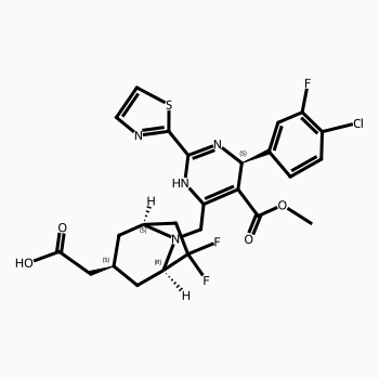 COC(=O)C1=C(CN2[C@H]3C[C@H](CC(=O)O)C[C@@H]2C(F)(F)C3)NC(c2nccs2)=N[C@H]1c1ccc(Cl)c(F)c1